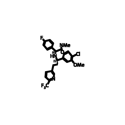 CNC(=O)[C@H](N[C@@H](CCc1ccc(C(F)(F)F)nc1)c1ccc(Cl)c(OC)c1)c1ccc(F)cc1